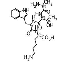 C[C@H](N)C(=O)N[C@H](C(=O)N[C@@H](Cc1c[nH]c2ccccc12)C(=O)N[C@@H](CCCCN)C(=O)O)[C@@H](C)O